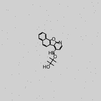 CC(C)(O)C(C)(C)OBc1ccnc2oc3c4ccccc4ccc3c12